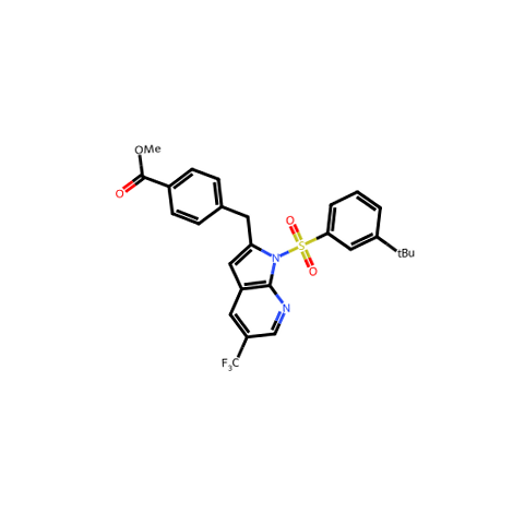 COC(=O)c1ccc(Cc2cc3cc(C(F)(F)F)cnc3n2S(=O)(=O)c2cccc(C(C)(C)C)c2)cc1